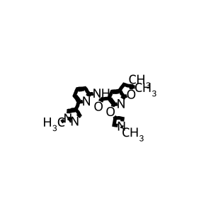 CN1CC(Oc2nc3c(cc2C(=O)Nc2cccc(-c4cnn(C)c4)n2)CC(C)(C)O3)C1